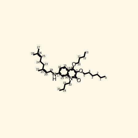 CCCCCCOc1c(OCCCC)c2ccc(NCC=C(C)CCC=C(C)C)cc2n(CCCC)c1=O